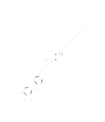 CCCCCCCCCCCCCCCCCCNC(=O)C(=O)NCCCOc1ccc(Oc2ccc(O)c(O)c2)cc1